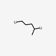 [Li][CH2]CC[CH]([Li])C